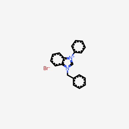 [Br-].c1ccc(Cn2c[n+](-c3ccccc3)c3ccccc32)cc1